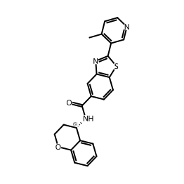 Cc1ccncc1-c1nc2cc(C(=O)N[C@H]3CCOc4ccccc43)ccc2s1